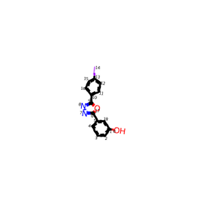 Oc1cccc(-c2nnc(-c3ccc(I)cc3)o2)c1